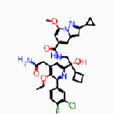 CCOc1c(CC(N)=O)cc([C@@](O)(CNC(=O)c2cc(OC)n3nc(C4CC4)cc3c2)C2CCC2)nc1-c1ccc(F)c(Cl)c1